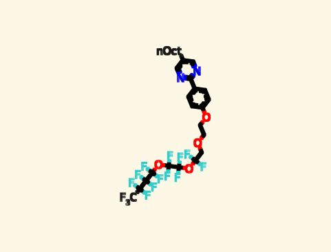 CCCCCCCCc1cnc(-c2ccc(OCCOCC(F)(F)OC(F)(F)C(F)(F)OC(F)(F)C(F)(F)C(F)(F)C(F)(F)F)cc2)nc1